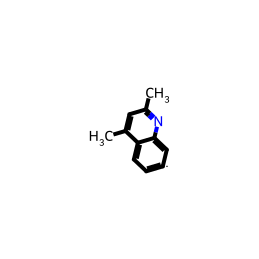 Cc1cc(C)c2cc[c]cc2n1